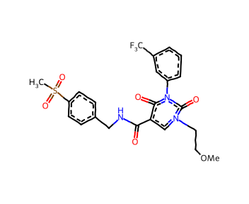 COCCn1cc(C(=O)NCc2ccc(S(C)(=O)=O)cc2)c(=O)n(-c2cccc(C(F)(F)F)c2)c1=O